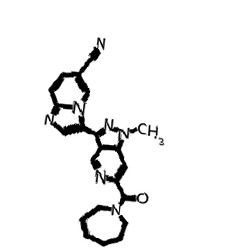 Cn1nc(-c2cnc3ccc(C#N)cn23)c2cnc(C(=O)N3CCCCCC3)cc21